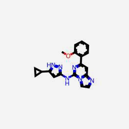 COc1ccccc1-c1cc2nccn2c(Nc2cc(C3CC3)[nH]n2)n1